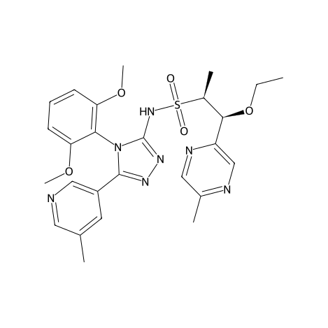 CCO[C@@H](c1cnc(C)cn1)[C@H](C)S(=O)(=O)Nc1nnc(-c2cncc(C)c2)n1-c1c(OC)cccc1OC